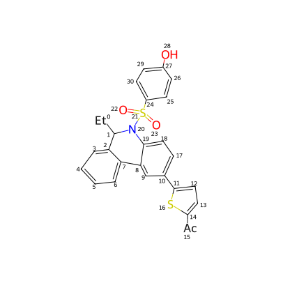 CCC1c2ccccc2-c2cc(-c3ccc(C(C)=O)s3)ccc2N1S(=O)(=O)c1ccc(O)cc1